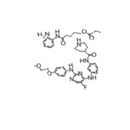 CCC(=O)OCCCCC(=O)Nc1ccccc1N.COCCOc1ccc(Nc2ncc(F)c(Nc3cccc(NC(=O)C4CCNCC4)c3)n2)cc1